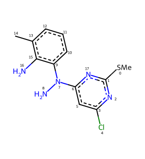 CSc1nc(Cl)cc(N(N)c2cccc(C)c2N)n1